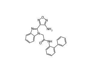 Nc1nonc1-c1nc2ccccc2n1CC(=O)Nc1ccccc1-c1ccccc1